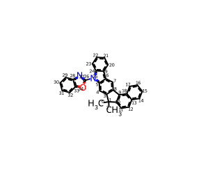 CC1(C)c2cc3c(cc2-c2c1ccc1ccccc21)c1ccccc1n3-c1nc2ccccc2o1